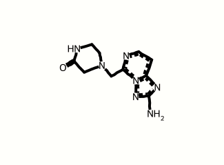 Nc1nc2ccnc(CN3CCNC(=O)C3)n2n1